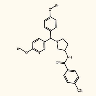 CC(C)Oc1ccc(C(c2ccc(OC(C)C)nc2)N2CCC(NC(=O)c3ccc(C#N)cc3)C2)cc1